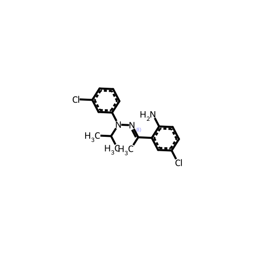 C/C(=N\N(c1cccc(Cl)c1)C(C)C)c1cc(Cl)ccc1N